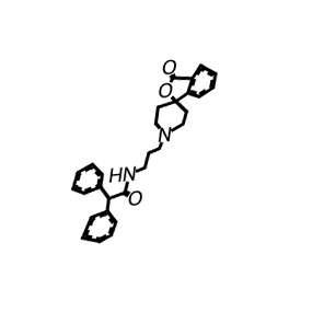 O=C1OC2(CCN(CCCNC(=O)C(c3ccccc3)c3ccccc3)CC2)c2ccccc21